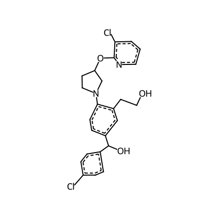 OCCc1cc(C(O)c2ccc(Cl)cc2)ccc1N1CCC(Oc2ncccc2Cl)C1